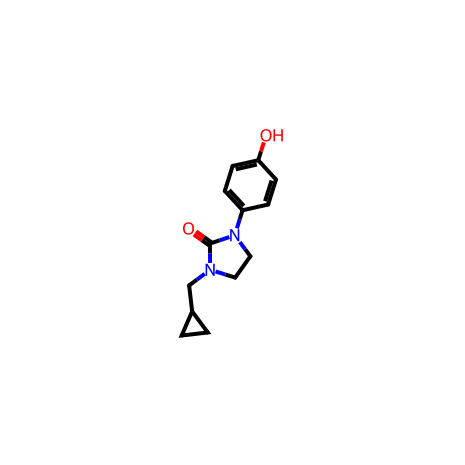 O=C1N(CC2CC2)CCN1c1ccc(O)cc1